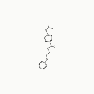 CC(C)Oc1ccc(C(=O)OCCOc2ccccc2)cc1